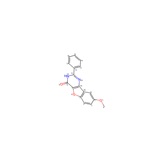 COc1ccc2oc3c(=O)[nH]c(-c4ccccc4)nc3c2c1